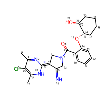 CC1=N/C(=C2\CN(C(=O)c3ccccc3O[C@H]3CCCC[C@@H]3O)CC2=N)NC(C)=C1Cl